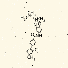 Cc1ccc(-c2ccc(C(=O)Nc3ccc4oc(N(C)CCN(C)C)nc4c3)cc2)c(Cl)c1